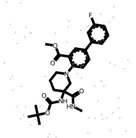 CNC(=O)C1(NC(=O)OC(C)(C)C)CCCN(c2ccc(-c3cccc(F)c3)cc2C(=O)OC)C1